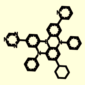 c1ccc(N2c3cc(-c4ccccn4)ccc3B3c4ccc(-c5ncncn5)cc4N(c4ccccc4)c4cc(C5CCCCC5)cc2c43)cc1